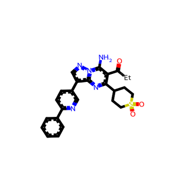 CCC(=O)c1c(C2CCS(=O)(=O)CC2)nc2c(-c3ccc(-c4ccccc4)nc3)cnn2c1N